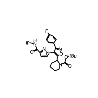 CC(C)NC(=O)c1ccn(-c2c(-c3ccc(F)cc3)noc2C2CCCCN2C(=O)OC(C)(C)C)n1